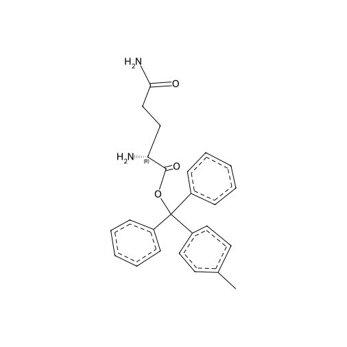 Cc1ccc(C(OC(=O)[C@H](N)CCC(N)=O)(c2ccccc2)c2ccccc2)cc1